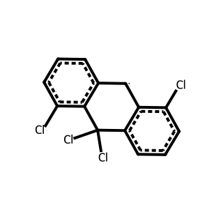 Clc1cccc2c1[CH]c1cccc(Cl)c1C2(Cl)Cl